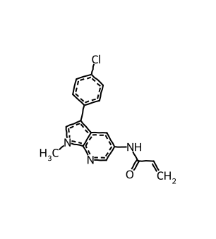 C=CC(=O)Nc1cnc2c(c1)c(-c1ccc(Cl)cc1)cn2C